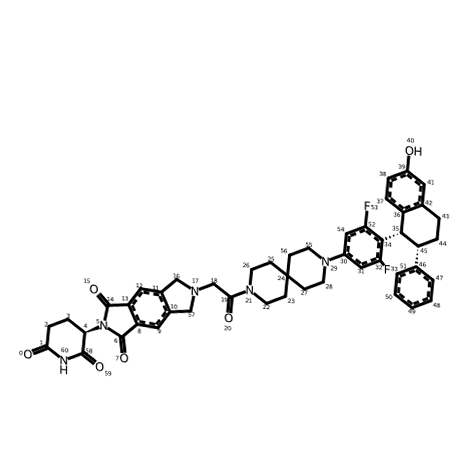 O=C1CC[C@@H](N2C(=O)c3cc4c(cc3C2=O)CN(CC(=O)N2CCC3(CC2)CCN(c2cc(F)c([C@@H]5c6ccc(O)cc6CC[C@@H]5c5ccccc5)c(F)c2)CC3)C4)C(=O)N1